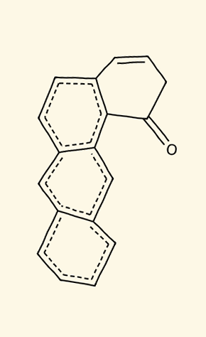 O=C1CC=Cc2ccc3cc4ccccc4cc3c21